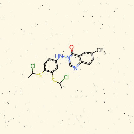 CC(Cl)Sc1ccc(Nn2cnc3ccc(C(F)(F)F)cc3c2=O)cc1SC(C)Cl